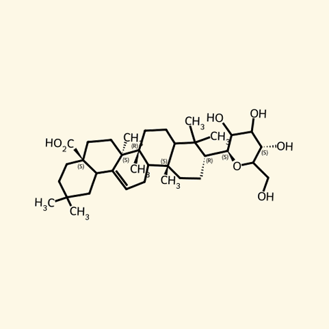 CC1(C)CC[C@]2(C(=O)O)CC[C@]3(C)C(=CCC4[C@@]5(C)CC[C@@H]([C@@H]6OC(CO)[C@@H](O)C(O)C6O)C(C)(C)C5CC[C@]43C)C2C1